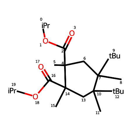 CC(C)OC(=O)C1(C)CC(C)(C(C)(C)C)C(C)(C(C)(C)C)CC1(C)C(=O)OC(C)C